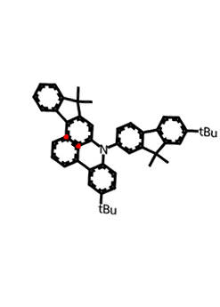 CC(C)(C)c1ccc(N(c2ccc3c(c2)C(C)(C)c2ccccc2-3)c2ccc3c(c2)C(C)(C)c2cc(C(C)(C)C)ccc2-3)c(-c2ccccc2)c1